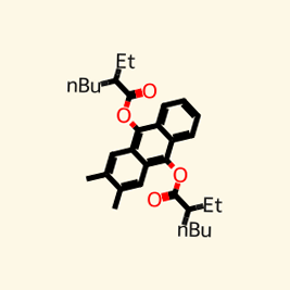 CCCCC(CC)C(=O)Oc1c2ccccc2c(OC(=O)C(CC)CCCC)c2cc(C)c(C)cc12